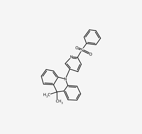 CC1(C)c2ccccc2N(c2ccc(S(=O)(=O)c3ccccc3)nc2)c2ccccc21